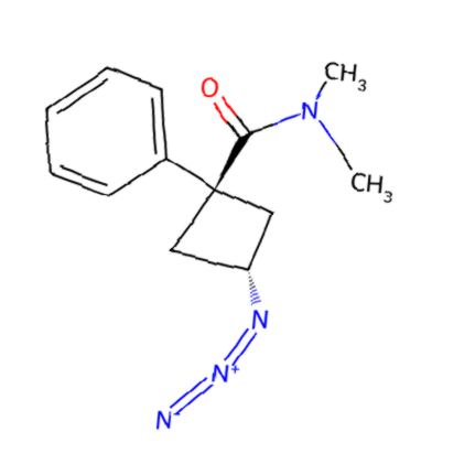 CN(C)C(=O)[C@]1(c2ccccc2)C[C@@H](N=[N+]=[N-])C1